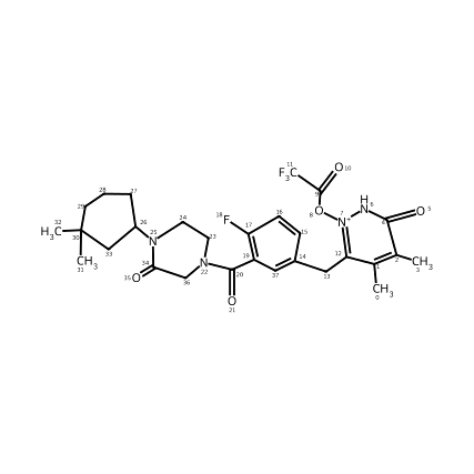 Cc1c(C)c(=O)[nH][n+](OC(=O)C(F)(F)F)c1Cc1ccc(F)c(C(=O)N2CCN(C3CCCC(C)(C)C3)C(=O)C2)c1